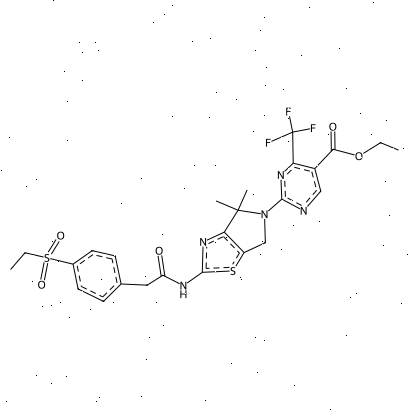 CCOC(=O)c1cnc(N2Cc3sc(NC(=O)Cc4ccc(S(=O)(=O)CC)cc4)nc3C2(C)C)nc1C(F)(F)F